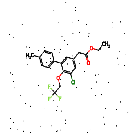 CCOC(=O)Cc1cc(Cl)c(OCC(F)(F)F)c(-c2ccc(C)cc2)c1